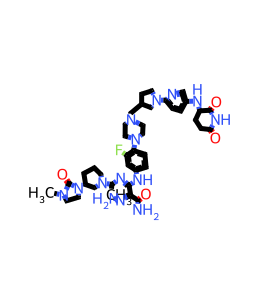 CC(/N=C(Nc1ccc(N2CCN(CC3CCN(c4ccc(NC5CCC(=O)NC5=O)cn4)C3)CC2)c(F)c1)\C(=N/N)C(N)=O)N1CCC[C@@H](N2CCN(C)C2=O)C1